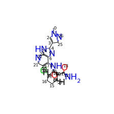 Cn1cc(-c2nc3c(N[C@H]4[C@@H](C(N)=O)[C@@H]5CC[C@H]4O5)c(Cl)cnc3[nH]2)cn1